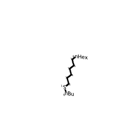 [CH2]CCCSCCCCCCCCCCCC